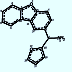 NC(c1ccc2oc3ccccc3c2c1)c1ccco1